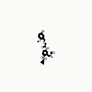 COc1ccc(Br)cc1COCC(=O)Nc1ccc(S(=O)(=O)C2CC2)c(CN(C)C=O)c1